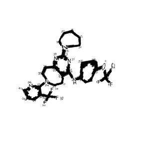 FC(F)(F)Oc1ccc(Nc2nc(N3CCCCC3)nc3c2CCN(c2ncccc2C(F)(F)F)CC3)cc1